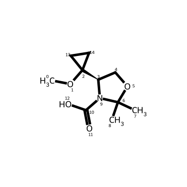 COC1([C@H]2COC(C)(C)N2C(=O)O)CC1